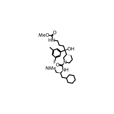 CNC[C@H](CC1CCCCC1)NC(=O)N1CCC[C@@H]([C@@](O)(CCCNC(=O)OC)c2cc(C)cc(F)c2)C1